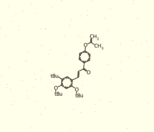 C=C(C)Oc1ccc(C(=O)C=Cc2cc(C(C)(C)C)c(OC(C)(C)C)cc2OC(C)(C)C)cc1